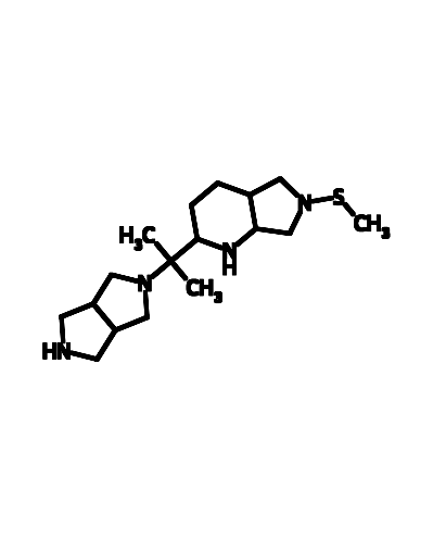 CSN1CC2CCC(C(C)(C)N3CC4CNCC4C3)NC2C1